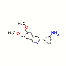 COCc1cc2cnc(-c3cccc(N)c3)cc2cc1COC